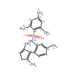 CC1=CCC(C)=C1c1ccc(C)cc1NS(=O)(=O)c1c(C)cc(C)cc1C